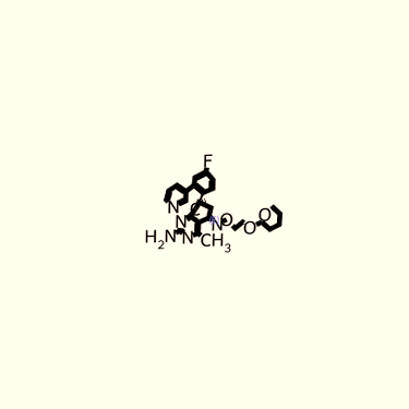 Cc1nc(N)nc2c1/C(=N/OCCOC1CCCCO1)C[C@H](c1ccc(F)cc1-c1cccnc1)C2